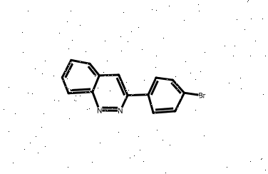 Brc1ccc(-c2cc3ccccc3nn2)cc1